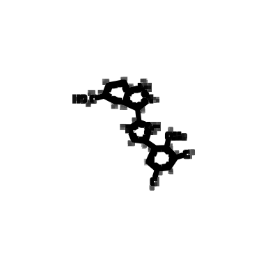 COc1c(Cl)cc(Cl)cc1-c1cnc(-c2n[nH]c3ccc(C(=O)O)cc23)[nH]1